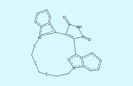 O=C1NC(=O)C2=C1c1cn(c3ccccc13)CCCCCCCn1cc2c2ccccc21